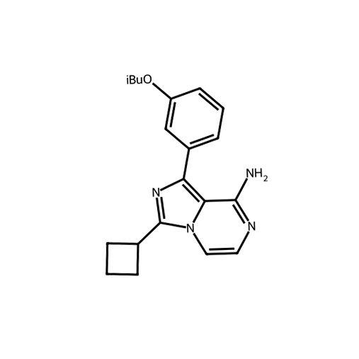 CC(C)COc1cccc(-c2nc(C3CCC3)n3ccnc(N)c23)c1